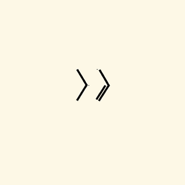 C[CH]C.[CH2]C=C